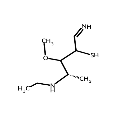 CCN[C@@H](C)C(OC)C(S)C=N